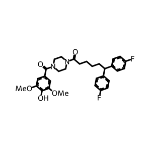 COc1cc(C(=O)N2CCN(C(=O)CCCCC(c3ccc(F)cc3)c3ccc(F)cc3)CC2)cc(OC)c1O